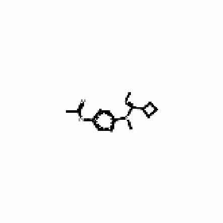 CN=C(C1CCC1)N(C)c1ccc(NC(C)=O)cc1